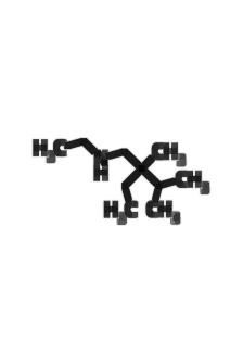 CCNCC(C)(CC)C(C)C